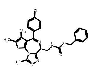 Cc1sc2c(c1C)C(c1ccc(Cl)cc1)=N[C@@H](CNC(=O)OCc1ccccc1)c1nnc(C)n1-2